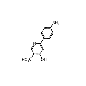 Nc1ccc(-c2ncc(C(=O)O)c(O)n2)cc1